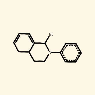 CCC1C2=CC=CCC2CCN1c1ccccc1